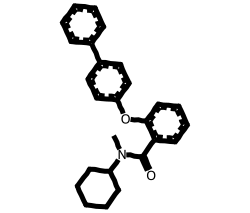 CN(C(=O)c1ccccc1Oc1ccc(-c2ccccc2)cc1)C1CCCCC1